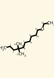 CCCC(C)(C)CCCCCCOCC